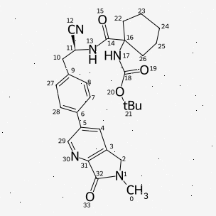 CN1Cc2cc(-c3ccc(C[C@@H](C#N)NC(=O)C4(NC(=O)OC(C)(C)C)CCCCC4)cc3)cnc2C1=O